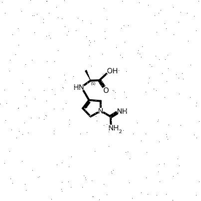 C[C@H](NC1=CCN(C(=N)N)C1)C(=O)O